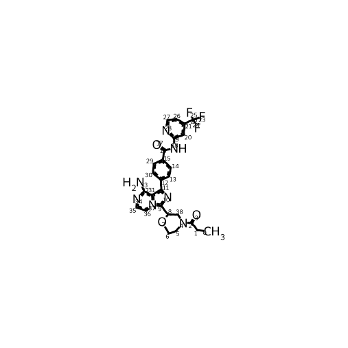 CCC(=O)N1CCOC(c2nc(-c3ccc(C(=O)Nc4cc(C(F)(F)F)ccn4)cc3)c3c(N)nccn23)C1